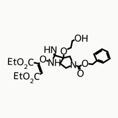 CCOC(=O)C=C(ONC(=N)C1(OCCO)CCN(C(=O)OCc2ccccc2)C1)C(=O)OCC